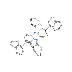 C1=C(c2cccc3ccccc23)C2c3ccccc3N3c4ccc(-c5cccc6ccccc56)c5c6ccccc6n(c45)C(=C1)C23